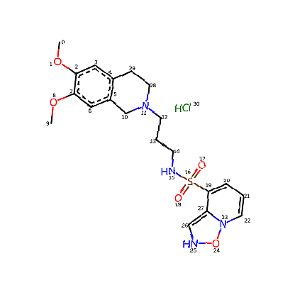 COc1cc2c(cc1OC)CN(CCCNS(=O)(=O)C1=CC=CN3ONC=C13)CC2.Cl